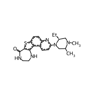 CC[C@H]1CN(C)C(C)CN1c1ccc2c(ccc3sc4c(c32)NCCNC4=O)n1